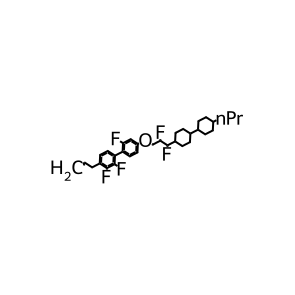 C=CCc1ccc(-c2ccc(OCC(F)C(F)C3CCC(C4CCC(CCC)CC4)CC3)cc2F)c(F)c1F